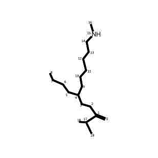 C=C(CCC(CCCC)CCCCCCNC)C(C)C